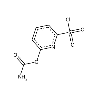 NC(=O)Oc1cccc(S(=O)(=O)Cl)n1